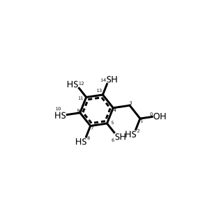 OC(S)Cc1c(S)c(S)c(S)c(S)c1S